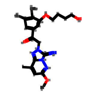 CCOc1cc(C)c2nn(CC(=O)c3cc(OCCCCO)c(OC)c(C(C)(C)C)c3)c(=N)n2n1